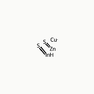 [Cu].[S]=[InH].[S]=[Zn]